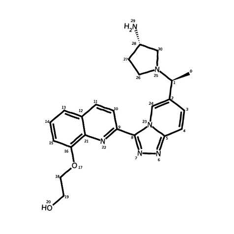 C[C@@H](c1ccc2nnc(-c3ccc4cccc(OCCO)c4n3)n2c1)N1CC[C@H](N)C1